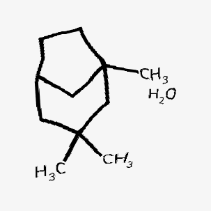 CC1(C)CC2CCC(C)(C2)C1.O